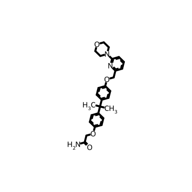 CC(C)(c1ccc(OCC(N)=O)cc1)c1ccc(OCc2cccc(N3CCOCC3)n2)cc1